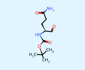 CC(C)(C)OC(=O)N[C@H]([C]=O)CCC(N)=O